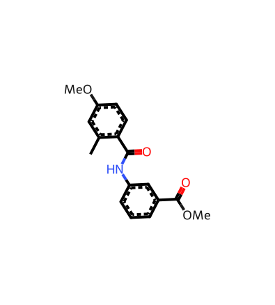 COC(=O)c1cccc(NC(=O)c2ccc(OC)cc2C)c1